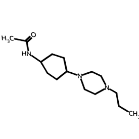 CCCN1CCN(C2CCC(NC(C)=O)CC2)CC1